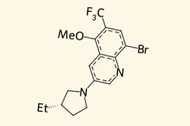 CC[C@H]1CCN(c2cnc3c(Br)cc(C(F)(F)F)c(OC)c3c2)C1